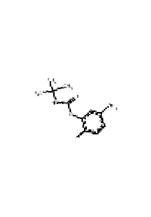 CC(C)(C)NC(=O)Oc1cc(N)ccc1F